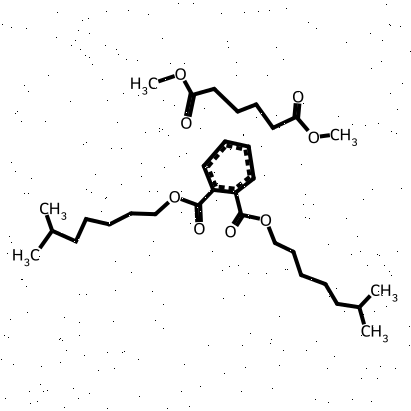 CC(C)CCCCCOC(=O)c1ccccc1C(=O)OCCCCCC(C)C.COC(=O)CCCCC(=O)OC